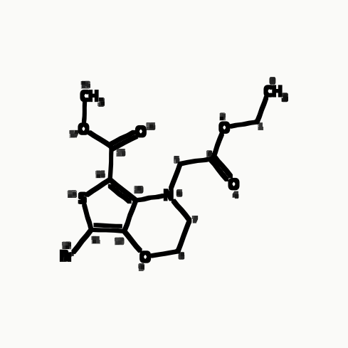 CCOC(=O)CN1CCOc2c(Br)sc(C(=O)OC)c21